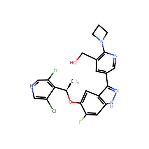 C[C@@H](Oc1cc2c(-c3cnc(N4CCC4)c(CO)c3)n[nH]c2cc1F)c1c(Cl)cncc1Cl